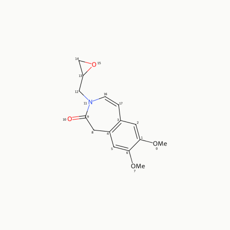 COc1cc2c(cc1OC)CC(=O)N(CC1CO1)C=C2